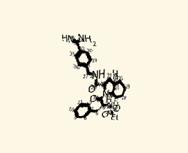 CCS(=O)(=O)N[C@H](Cc1ccccc1)C(=O)N1[C@@H]2CCCC[C@@H]2C[C@H]1C(=O)NCc1ccc(C(=N)N)cc1